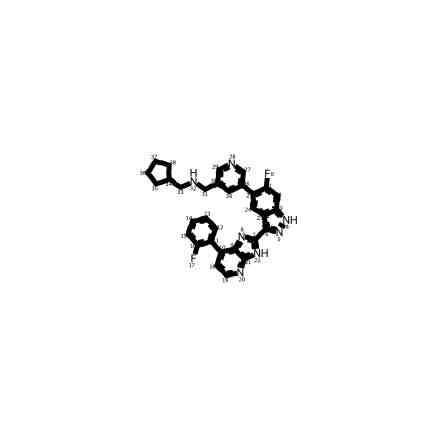 Fc1cc2[nH]nc(-c3nc4c(-c5ccccc5F)ccnc4[nH]3)c2cc1-c1cncc(CNCC2CCCC2)c1